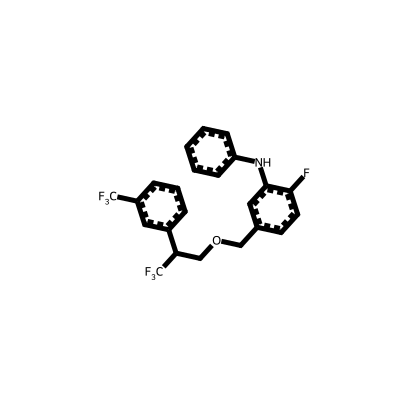 Fc1ccc(COCC(c2cccc(C(F)(F)F)c2)C(F)(F)F)cc1Nc1ccccc1